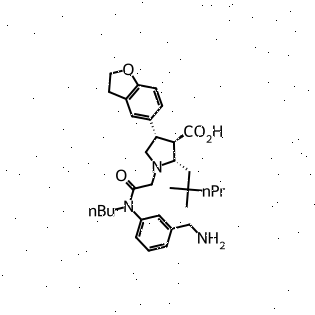 CCCCN(C(=O)CN1C[C@H](c2ccc3c(c2)CCO3)[C@@H](C(=O)O)[C@@H]1CC(C)(C)CCC)c1cccc(CN)c1